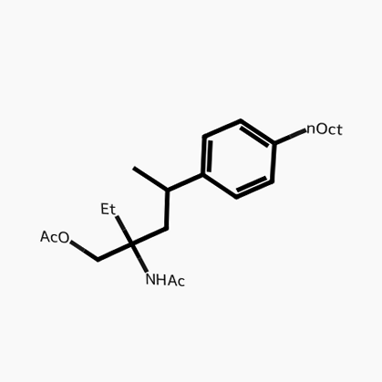 CCCCCCCCc1ccc(C(C)CC(CC)(COC(C)=O)NC(C)=O)cc1